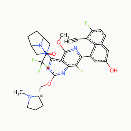 C#Cc1c(F)ccc2cc(O)cc(-c3nc(OC)c4c(N5CC6CCC(C5)N6C(=O)C(F)(F)F)nc(OC[C@@H]5CCCN5C)nc4c3F)c12